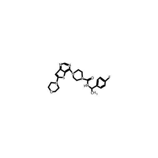 CC(NC(=O)N1CCN(c2ncnc3cc(N4CCOCC4)sc23)CC1)c1ccc(F)cc1